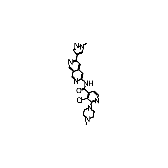 CN1CCN(c2nccc(C(=O)Nc3cc4cc(-c5cnn(C)c5)ncc4cn3)c2Cl)CC1